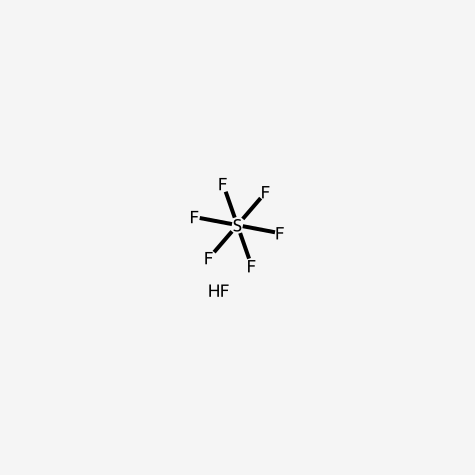 F.FS(F)(F)(F)(F)F